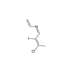 C=C/N=C\C(I)=C(/C)Cl